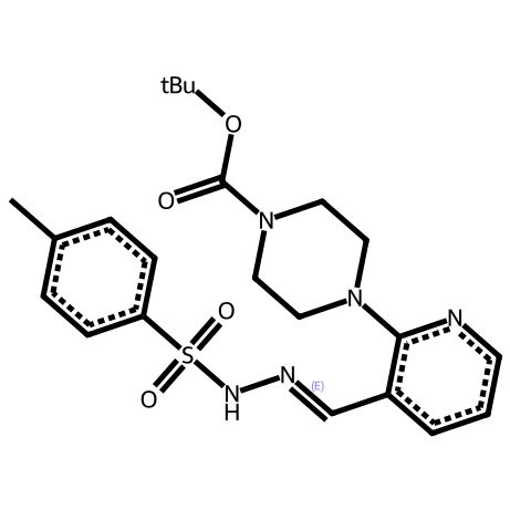 Cc1ccc(S(=O)(=O)N/N=C/c2cccnc2N2CCN(C(=O)OC(C)(C)C)CC2)cc1